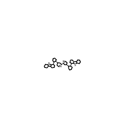 c1ccc(-c2cccc3c2sc2ccccc23)c(-c2ccnc(-c3cc(-c4ccccc4-c4cccc5c4sc4ccccc45)ccn3)c2)c1